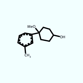 COC1(c2cccc(C)c2)CCC(O)CC1